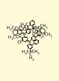 Cc1cc2c(cc1N(c1cc(Cl)cc(N(c3ccc4c(c3)oc3cc5c(cc34)C(C)(C)CCC5(C)C)c3ccc(C(C)(C)C)cc3-c3ccccc3)c1)c1ccc3c(c1)C(C)(C)c1ccccc1C3(C)C)C(C)(C)CCC2(C)C